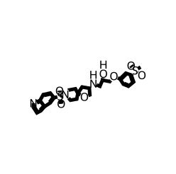 CS(=O)(=O)c1cccc(OCC(O)CN[C@H]2COC3(CCN(S(=O)(=O)c4ccc5ncccc5c4)CC3)C2)c1